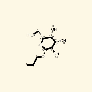 CCCO[C@@H]1O[C@H](CO)[C@H](O)[C@H](O)[C@H]1O